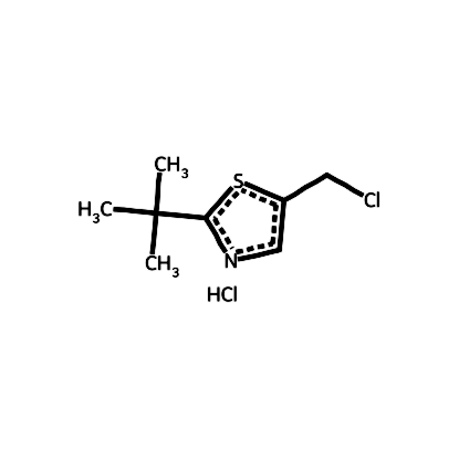 CC(C)(C)c1ncc(CCl)s1.Cl